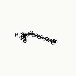 CCCCc1nc2c(N)nc3cc(C4CCN(C(=O)CCOCCOCCOCCOCCOCCOCCOCCNC(=O)OC(C)(C)C)CC4)sc3c2n1CC1CCOCC1